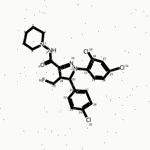 O=C(NN1CCCCC1)C1=NN(c2ccc(Cl)cc2Cl)C(c2ccc(Cl)cc2)C1CF